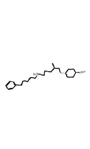 CCCCCCCC[C@H]1CC[C@H](CCC(C)CCC[SiH2]CCCCCc2ccccc2)CC1